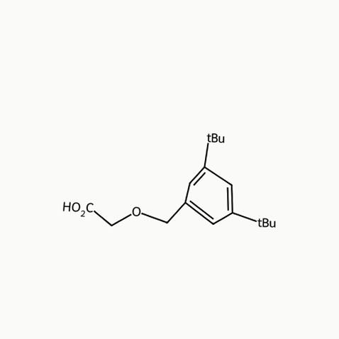 CC(C)(C)c1cc(COCC(=O)O)cc(C(C)(C)C)c1